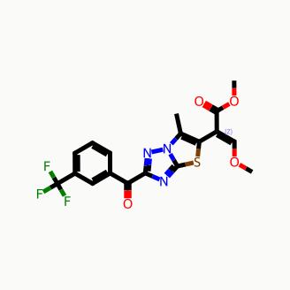 CO/C=C(/C(=O)OC)c1sc2nc(C(=O)c3cccc(C(F)(F)F)c3)nn2c1C